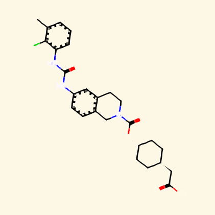 Cc1cccc(NC(=O)Nc2ccc3c(c2)CCN(C(=O)O[C@H]2CC[C@H](CC(=O)O)CC2)C3)c1Cl